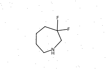 FC1(F)CCCCNC1